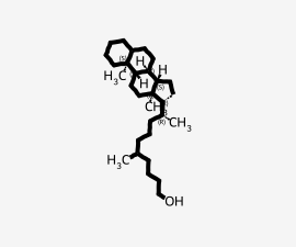 CC(CCCCO)CCC[C@@H](C)[C@H]1CC[C@H]2[C@@H]3CCC4CCCC[C@]4(C)[C@H]3CC[C@]12C